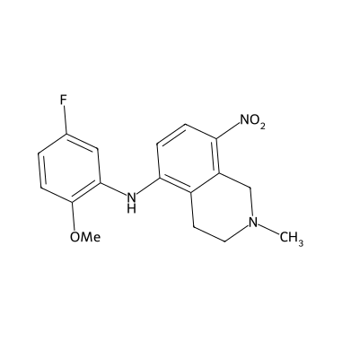 COc1ccc(F)cc1Nc1ccc([N+](=O)[O-])c2c1CCN(C)C2